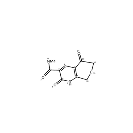 CNC(=O)c1cc2c([nH]c1=O)CCCC2=O